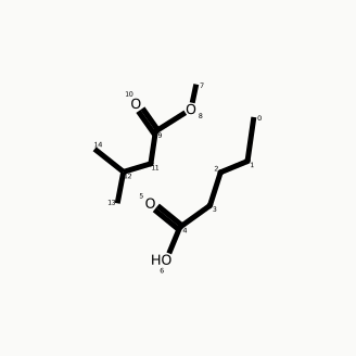 CCCCC(=O)O.COC(=O)CC(C)C